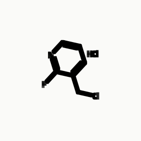 Cl.Fc1ncccc1CCl